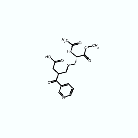 COC(=O)[C@H](CSCC(CC(=O)O)C(=O)c1cccnc1)NC(C)=O